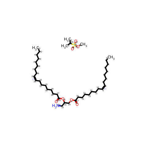 CCCCCCCC/C=C\CCCCCCCC(=O)OCC(CN)OC(=O)CCCCCCC/C=C\CCCCCCCC.COS(=O)(=O)C(C)C